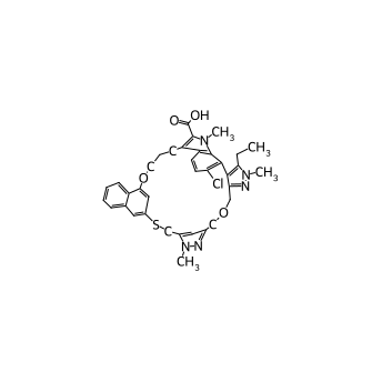 CCc1c2c(nn1C)COCc1cc(n(C)n1)CSc1cc(c3ccccc3c1)OCCCc1c(C(=O)O)n(C)c3c-2c(Cl)ccc13